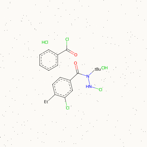 CCc1ccc(C(=O)N(NCl)C(C)(C)C)cc1Cl.Cl.Cl.O=C(Cl)c1ccccc1